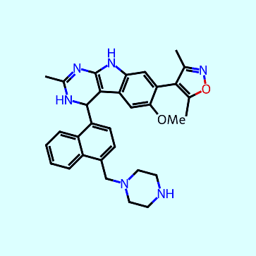 COc1cc2c3c([nH]c2cc1-c1c(C)noc1C)N=C(C)NC3c1ccc(CN2CCNCC2)c2ccccc12